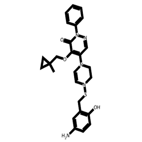 CC1(COc2c(N3C=CN(SCc4cc(N)ccc4O)CC3)cnn(-c3ccccc3)c2=O)CC1